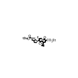 CCOC(=O)c1cc(C2CC2)c2c(C)c(N3CCC(CNC(=O)OC(C)(C)C)C3)c(F)cn2c1=O